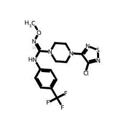 CO/N=C(/Nc1ccc(C(F)(F)F)cc1)N1CCN(c2nsnc2Cl)CC1